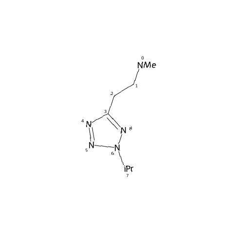 [CH2+][N-]CCc1nnn(C(C)C)n1